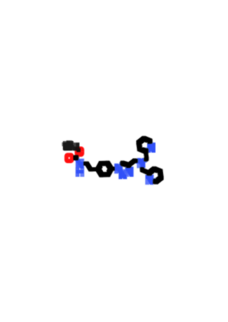 CC(C)(C)OC(=O)NCCc1ccc(-n2cc(CN(Cc3ccccn3)Cc3ccccn3)nn2)cc1